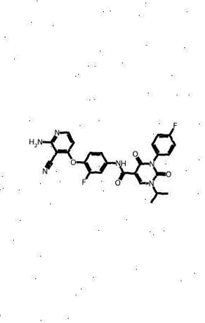 CC(C)n1cc(C(=O)Nc2ccc(Oc3ccnc(N)c3C#N)c(F)c2)c(=O)n(-c2ccc(F)cc2)c1=O